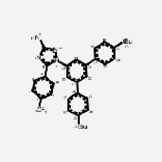 CCCc1nc(-c2ccc(C(F)(F)F)cc2)n(-c2cc(-c3ccc(C(C)(C)C)cc3)cc(-c3ccc(C(C)(C)C)cc3)c2)n1